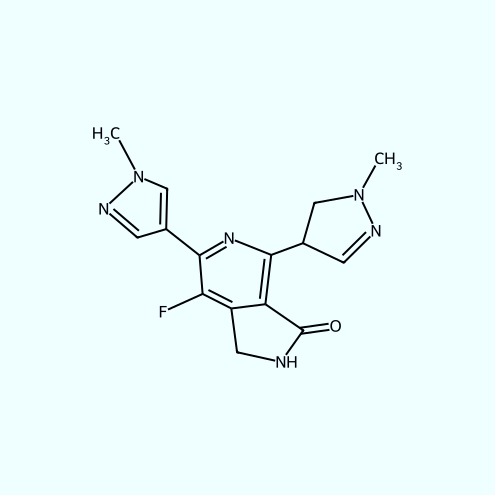 CN1CC(c2nc(-c3cnn(C)c3)c(F)c3c2C(=O)NC3)C=N1